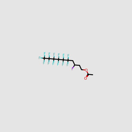 CC(=O)OCCC(I)CC(F)(F)C(F)(F)C(F)(F)C(F)(F)C(F)(F)C(F)(F)F